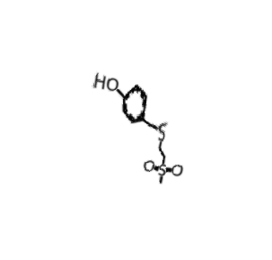 CS(=O)(=O)CCSc1ccc(O)cc1